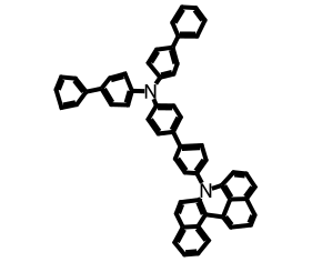 c1ccc(-c2ccc(N(c3ccc(-c4ccccc4)cc3)c3ccc(-c4ccc(N5c6ccc7ccccc7c6-c6cccc7cccc5c67)cc4)cc3)cc2)cc1